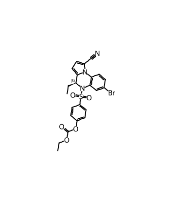 CCOC(=O)Oc1ccc(S(=O)(=O)N2c3cc(Br)ccc3-n3c(C#N)ccc3[C@@H]2CC)cc1